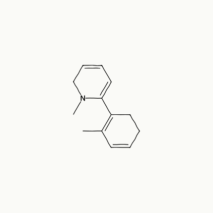 CC1=C(C2=CC=CCN2C)CCC=C1